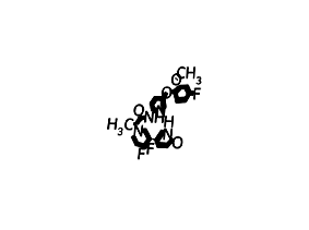 COc1cc(F)ccc1Oc1ccc(NC(=O)[C@H](C)N2CCC(F)(F)[C@@H](c3ccc(=O)[nH]c3)C2)nc1